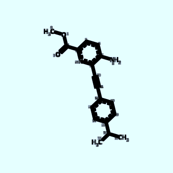 COC(=O)c1ccc(N)c(C#Cc2ccc(C(C)C)cc2)n1